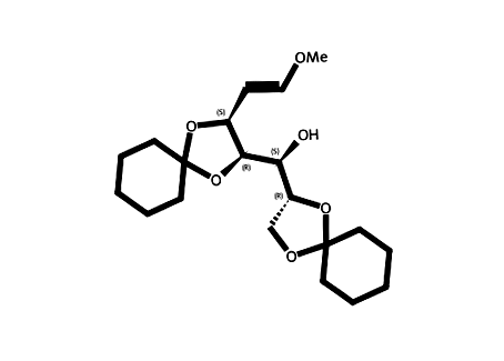 COC=C[C@@H]1OC2(CCCCC2)O[C@@H]1[C@@H](O)[C@H]1COC2(CCCCC2)O1